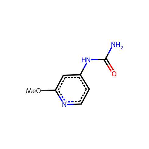 COc1cc(NC(N)=O)ccn1